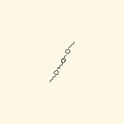 CCCCC[C@H]1CC[C@H](C=CCCc2ccc(CC[C@H]3CC[C@H](CCCCC)CC3)cc2)CC1